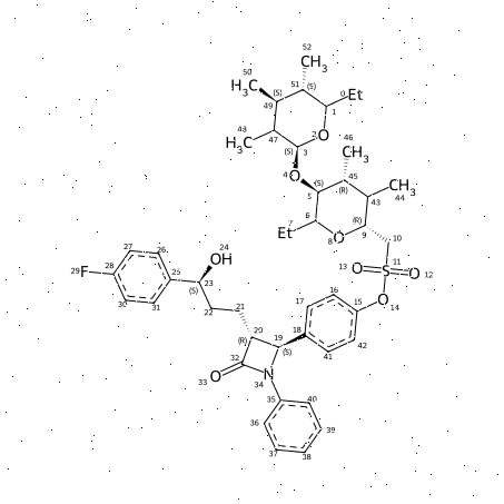 CCC1O[C@@H](O[C@@H]2C(CC)O[C@@H](CS(=O)(=O)Oc3ccc([C@@H]4[C@@H](CC[C@H](O)c5ccc(F)cc5)C(=O)N4c4ccccc4)cc3)C(C)[C@H]2C)C(C)[C@@H](C)[C@@H]1C